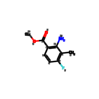 Cc1c(F)ccc(C(=O)OC(C)(C)C)c1N